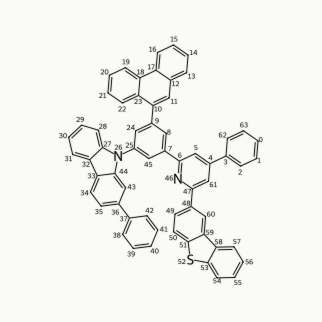 c1ccc(-c2cc(-c3cc(-c4cc5ccccc5c5ccccc45)cc(-n4c5ccccc5c5ccc(-c6ccccc6)cc54)c3)nc(-c3ccc4sc5ccccc5c4c3)c2)cc1